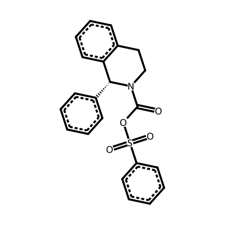 O=C(OS(=O)(=O)c1ccccc1)N1CCc2ccccc2[C@H]1c1ccccc1